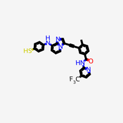 Cc1ccc(C(=O)Nc2cc(C(F)(F)F)ccn2)cc1C#Cc1cnc2c(Nc3ccc(S)cc3)cccn12